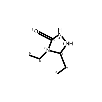 CCC1NNC(=O)N1CC